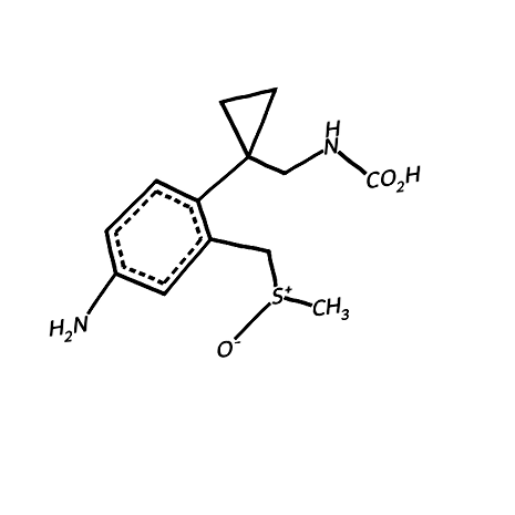 C[S+]([O-])Cc1cc(N)ccc1C1(CNC(=O)O)CC1